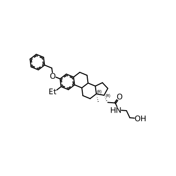 CCc1cc2c(cc1OCc1ccccc1)CCC1C2CC[C@@]2(C)C1CC[C@@H]2CC(=O)NCCO